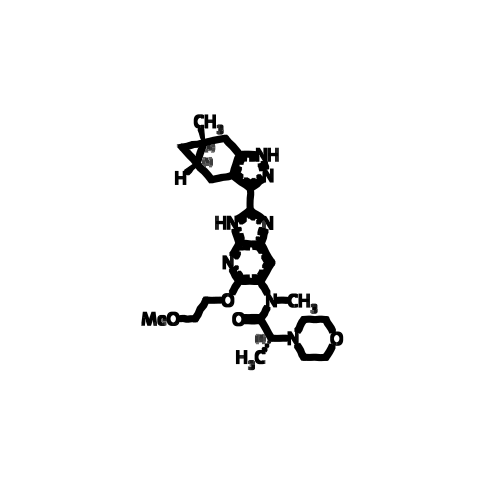 COCCOc1nc2[nH]c(-c3n[nH]c4c3C[C@@H]3C[C@]3(C)C4)nc2cc1N(C)C(=O)[C@@H](C)N1CCOCC1